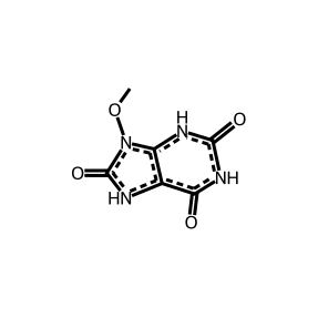 COn1c(=O)[nH]c2c(=O)[nH]c(=O)[nH]c21